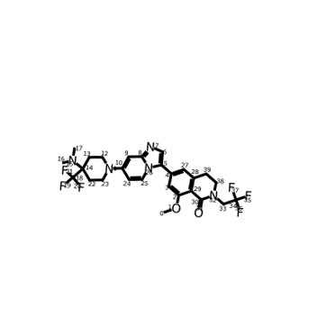 COc1cc(-c2cnc3cc(N4CCC(N(C)C)(C(F)(F)F)CC4)ccn23)cc2c1C(=O)N(CC(F)(F)F)CC2